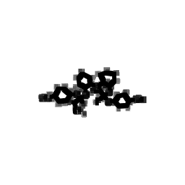 CC(C)(C)c1ccc(OC(F)(Oc2ccccc2Oc2ccccc2OC(F)(Oc2ccc(C(C)(C)C)cc2)C(F)C(F)(F)F)C(F)C(F)(F)F)cc1